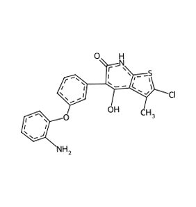 Cc1c(Cl)sc2[nH]c(=O)c(-c3cccc(Oc4ccccc4N)c3)c(O)c12